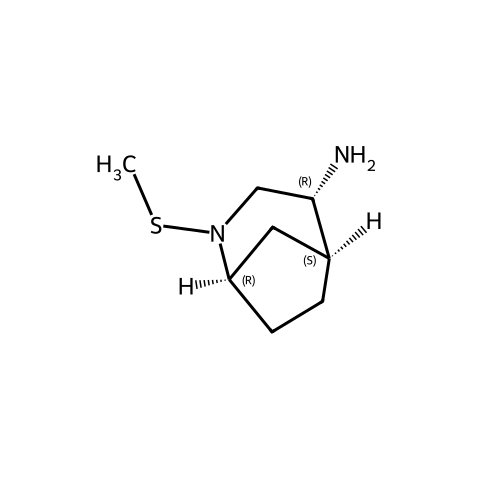 CSN1C[C@H](N)[C@H]2CC[C@@H]1C2